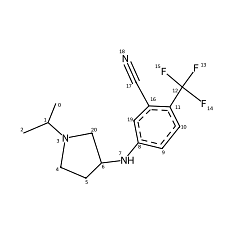 CC(C)N1CCC(Nc2ccc(C(F)(F)F)c(C#N)c2)C1